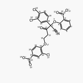 N#CC(Oc1ccccc1[N+](=O)[O-])(C(=O)CCOc1ccc([N+](=O)[O-])cc1Cl)c1ccc(Cl)c(Cl)c1